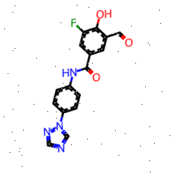 O=Cc1cc(C(=O)Nc2ccc(-n3cncn3)cc2)cc(F)c1O